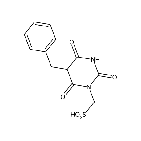 O=C1NC(=O)N(CS(=O)(=O)O)C(=O)C1Cc1ccccc1